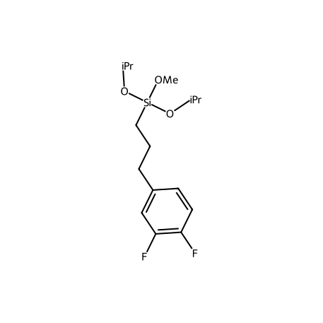 CO[Si](CCCc1ccc(F)c(F)c1)(OC(C)C)OC(C)C